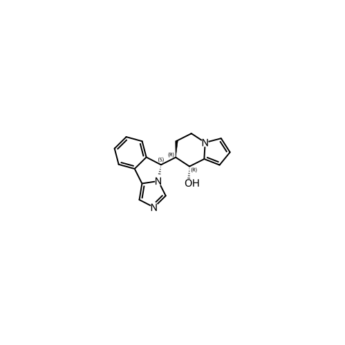 O[C@H]1c2cccn2CC[C@@H]1[C@H]1c2ccccc2-c2cncn21